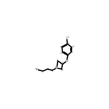 FCCCN1CC(Oc2ccc(I)cc2)C1